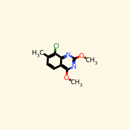 COc1nc(OC)c2ccc(C)c(Cl)c2n1